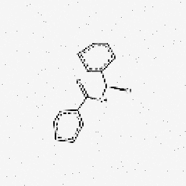 CC[C@@H](NC(=O)c1ccccc1)c1ccccc1